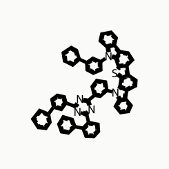 c1ccc(-c2cccc(-c3nc(-c4cccc(-n5c6ccccc6c6ccc7c8ccc9c%10ccccc%10n(-c%10cccc(-c%11ccccc%11)c%10)c9c8sc7c65)c4)nc(-c4ccccc4-c4ccccc4)n3)c2)cc1